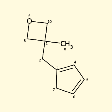 CC1(CC2=CC=CC2)COC1